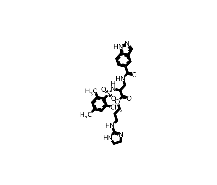 Cc1cc(C)c(S(=O)(=O)NC(CNC(=O)c2ccc3[nH]ncc3c2)C(=O)OCCCNC2=NCCN2)c(C)c1